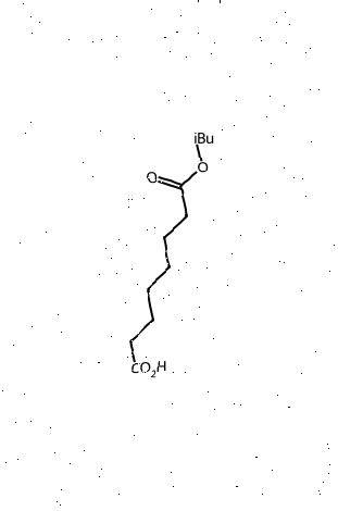 CCC(C)OC(=O)CCCCCCC(=O)O